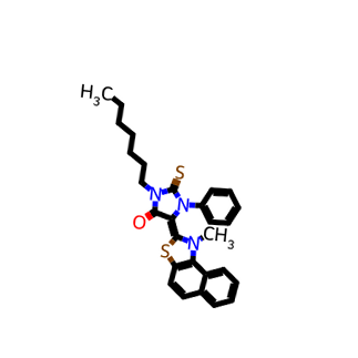 CCCCCCCN1C(=O)C(=C2Sc3ccc4ccccc4c3N2C)N(c2ccccc2)C1=S